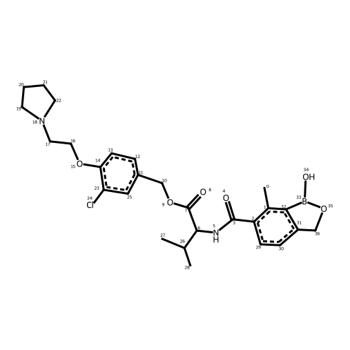 Cc1c(C(=O)NC(C(=O)OCc2ccc(OCCN3CCCC3)c(Cl)c2)C(C)C)ccc2c1B(O)OC2